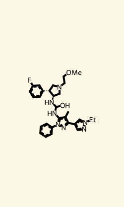 CCn1cc(-c2nn(-c3ccccc3)c(NC(O)N[C@@H]3CN(CCOC)C[C@H]3c3cccc(F)c3)c2C)cn1